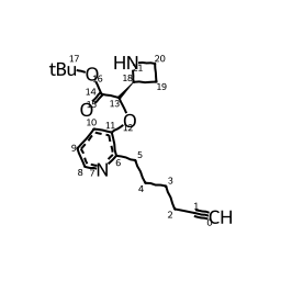 C#CCCCCc1ncccc1OC(C(=O)OC(C)(C)C)[C@@H]1CCN1